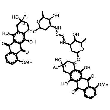 COc1cccc2c1C(=O)c1c(O)c3c(c(O)c1C2=O)C[C@@](O)(C(C)=O)C[C@@H]3OC1CC(NSSNC2CC(O[C@H]3C[C@](O)(C(C)=O)Cc4c(O)c5c(c(O)c43)C(=O)c3c(OC)cccc3C5=O)OC(C)C2O)C(O)C(C)O1